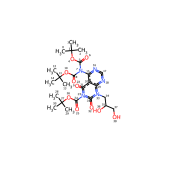 CC(C)(C)OC(=O)N(C(=O)OC(C)(C)C)c1ncnc2c1c(=O)n(C(=O)OC(C)(C)C)c(=O)n2CC(O)CO